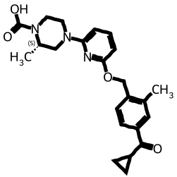 Cc1cc(C(=O)C2CC2)ccc1COc1cccc(N2CCN(C(=O)O)[C@@H](C)C2)n1